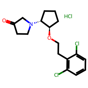 Cl.O=C1CCN([C@@H]2CCC[C@H]2OCCc2c(Cl)cccc2Cl)C1